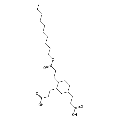 CCCCCCCCCCOC(=O)CCC1CCC(CCC(=O)O)CC1CCC(=O)O